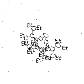 CCc1cc(CC)cc(-c2cc(-c3cc(CC)cc(CC)c3)cc(N(c3ccc(C4(c5ccc(N(c6cc(-c7cc(CC)cc(CC)c7)cc(-c7cc(CC)cc(CC)c7)c6)c6cc(-c7cc(CC)cc(CC)c7)cc(-c7cc(CC)cc(CC)c7)c6)cc5)CCCCC4)cc3)c3cc(-c4cc(CC)cc(CC)c4)cc(-c4cc(CC)cc(CC)c4)c3)c2)c1